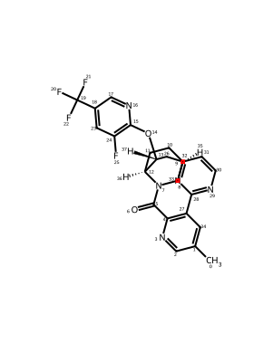 Cc1cnc(C(=O)N2C[C@@H]3CC[C@H]2[C@H](Oc2ncc(C(F)(F)F)cc2F)C3)c(-c2ncccn2)c1